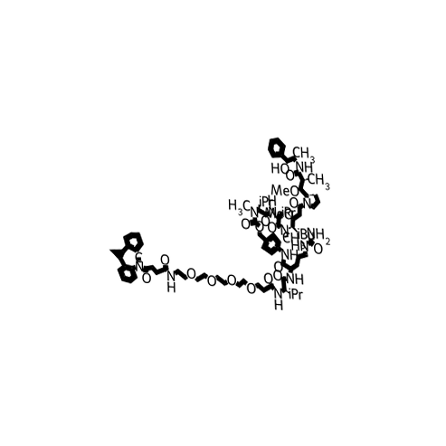 CC[C@H](C)[C@@H]([C@@H](CC(=O)N1CCC[C@H]1[C@H](OC)[C@@H](C)C(=O)N[C@H](C)[C@@H](O)c1ccccc1)OC)N(C)C(=O)C(NC(=O)[C@H](C(C)C)N(C)C(=O)OCc1ccc(NC(=O)C(CCCNC(N)=O)NC(=O)[C@@H](NC(=O)CCOCCOCCOCCOCCNC(=O)CCC(=O)N2Cc3ccccc3C3=C(C3)c3ccccc32)C(C)C)cc1)C(C)C